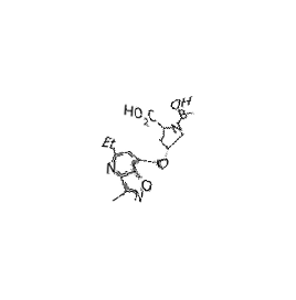 CCc1cc(O[C@@H]2C[C@@H](C(=O)O)N(B(C)O)C2)c2onc(C)c2n1